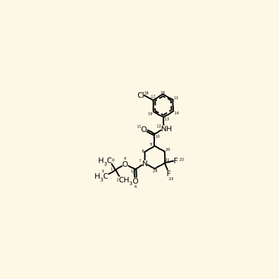 CC(C)(C)OC(=O)N1CC(C(=O)Nc2cccc(Cl)c2)CC(F)(F)C1